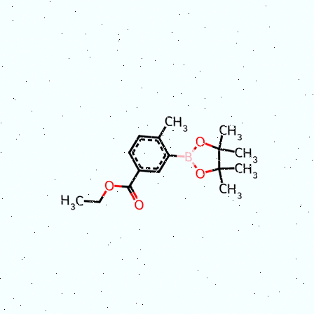 CCOC(=O)c1ccc(C)c(B2OC(C)(C)C(C)(C)O2)c1